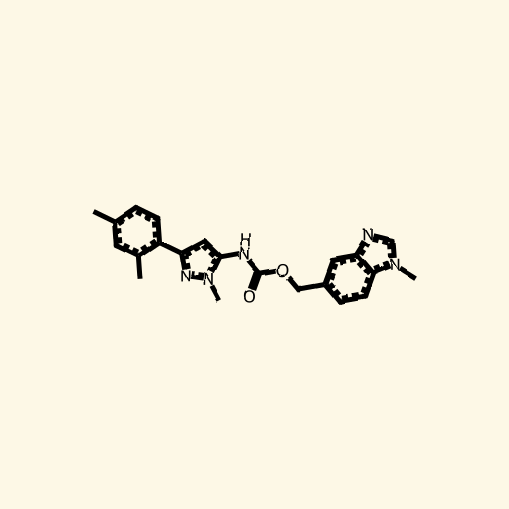 Cc1ccc(-c2cc(NC(=O)OCc3ccc4c(c3)ncn4C)n(C)n2)c(C)c1